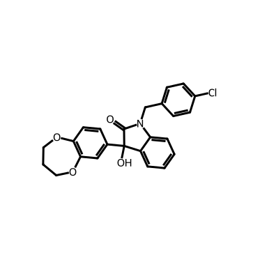 O=C1N(Cc2ccc(Cl)cc2)c2ccccc2C1(O)c1ccc2c(c1)OCCCO2